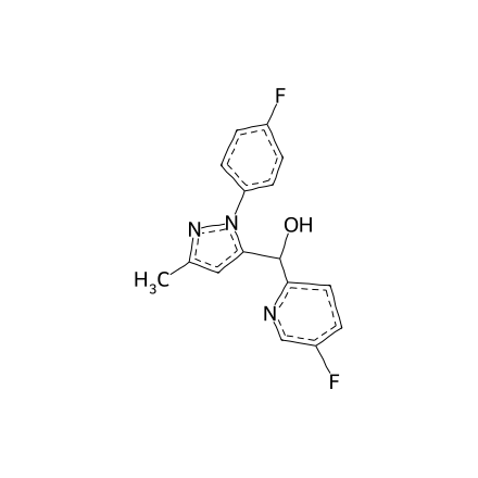 Cc1cc(C(O)c2ccc(F)cn2)n(-c2ccc(F)cc2)n1